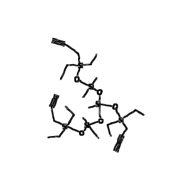 C#CC[Si](CC)(CC)O[Si](C)(C)O[Si](C)(O[Si](CC)(CC)CC#C)O[Si](C)(C)O[Si](CC)(CC)CC#C